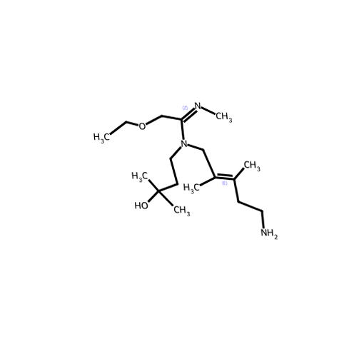 CCOC/C(=N/C)N(CCC(C)(C)O)C/C(C)=C(\C)CCN